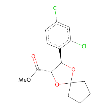 COC(=O)[C@H]1OC2(CCCC2)O[C@@H]1c1ccc(Cl)cc1Cl